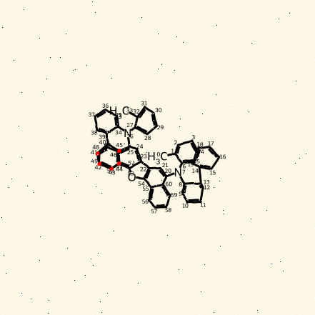 Cc1ccccc1N(c1ccccc1-c1ccccc1)c1cc2c3cc(N(c4ccccc4C)c4ccccc4-c4ccccc4)c4ccccc4c3oc2c2ccccc12